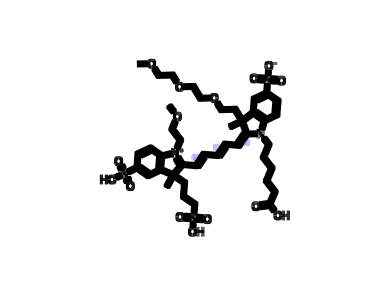 COCCOCCOCCC1(C)\C(=C/C=C/C=C/C2=[N+](CCOC)c3ccc(S(=O)(=O)O)cc3C2(C)CCCS(=O)(=O)O)N(CCCCCC(=O)O)c2ccc(S(=O)(=O)[O-])cc21